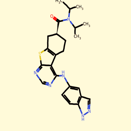 CC(C)N(C(=O)[C@H]1CCc2c(sc3ncnc(Nc4ccc5[nH]ncc5c4)c23)C1)C(C)C